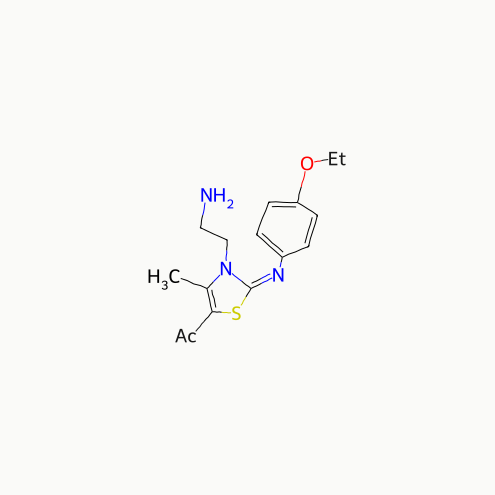 CCOc1ccc(/N=c2/sc(C(C)=O)c(C)n2CCN)cc1